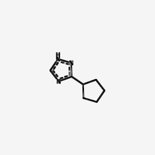 c1nc(C2CCCC2)n[nH]1